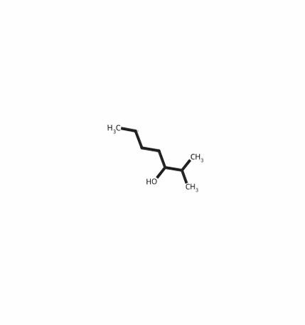 C[CH]CCC(O)C(C)C